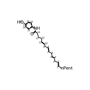 CCCCC/C=C/C/C=C/C/C=C/C/C=C/CCCC(=O)Nc1ccc(O)cc1